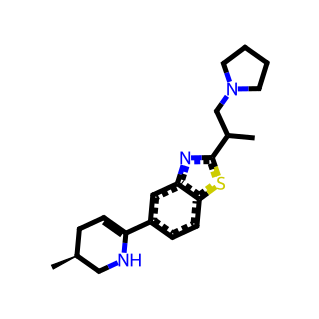 CC(CN1CCCC1)c1nc2cc(C3=CC[C@H](C)CN3)ccc2s1